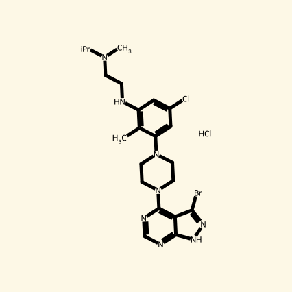 Cc1c(NCCN(C)C(C)C)cc(Cl)cc1N1CCN(c2ncnc3[nH]nc(Br)c23)CC1.Cl